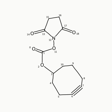 O=C(OC1CCC#CCCC1)ON1C(=O)CCC1=O